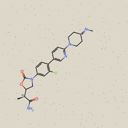 CN=C1CCN(c2ccc(-c3ccc(N4CC([C@H](C)C(N)=O)OC4=O)cc3F)cn2)CC1